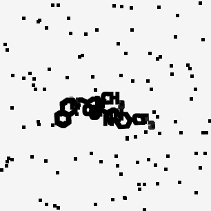 CN(CC(O)CN1CCc2ccccc2C1)C(=O)c1cn2c(n1)CCC(C(F)(F)F)C2